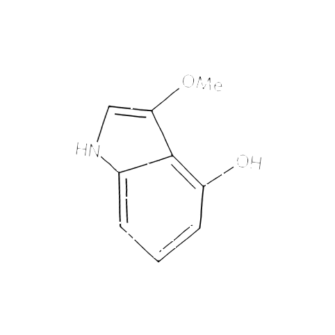 COc1c[nH]c2cccc(O)c12